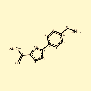 COC(=O)c1ccc(-c2ccc(CN)cc2)s1